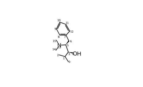 CC(C)[C@H](O)[C@H](Cc1ccccc1)N(C)C